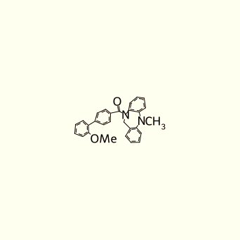 COc1ccccc1-c1ccc(C(=O)N2Cc3ccccc3N(C)c3ccccc32)cc1